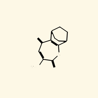 COc1cc(=O)c2c([nH]c1=O)C1CCC2CC1